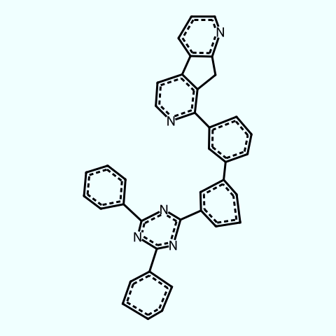 c1ccc(-c2nc(-c3ccccc3)nc(-c3cccc(-c4cccc(-c5nccc6c5Cc5ncccc5-6)c4)c3)n2)cc1